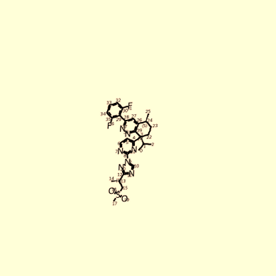 CC(C)[C@]1(c2ccnc(-n3cnc([C@H](C)CS(C)(=O)=O)n3)n2)CC[C@H](C)c2cc(-c3c(F)cccc3F)nnc21